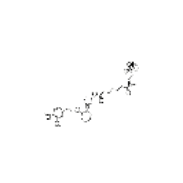 COc1ccc(CCO[C@H]2CCCC[C@H]2N2CCC(OC(=O)CCCCCC(=O)N(C)CCS(=O)(=O)O)C2)cc1OC